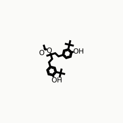 CC(=O)OC(C)(CCc1ccc(O)c(C(C)(C)C)c1)CCc1ccc(O)c(C(C)(C)C)c1